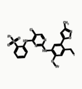 Cc1cc(-c2cc(Nc3ncc(Cl)c(Nc4ccccc4S(=O)(=O)C(C)C)n3)c(OC(C)C)cc2CI)on1